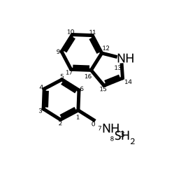 Cc1ccccc1.N.S.c1ccc2[nH]ccc2c1